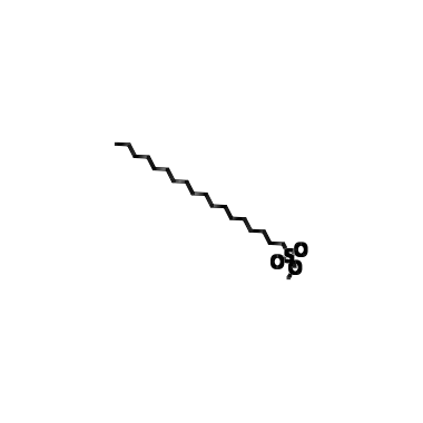 CCCCCCCCCCCCCCCCCCS(=O)(=O)OC